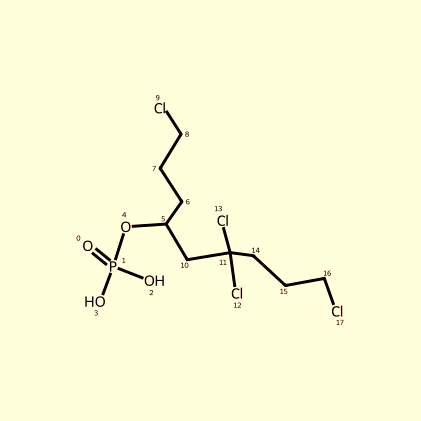 O=P(O)(O)OC(CCCCl)CC(Cl)(Cl)CCCCl